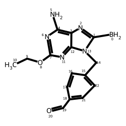 Bc1nc2c(N)nc(OCC)nc2n1Cc1ccc(C=O)cc1